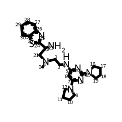 CN(CCNc1cc(N2CCCC2)nc(N2CCCC2)n1)CC(N)c1nc2ccccc2s1